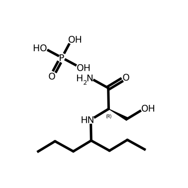 CCCC(CCC)N[C@H](CO)C(N)=O.O=P(O)(O)O